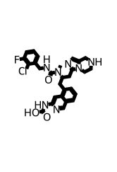 CN(C(=O)NCc1cccc(F)c1Cl)C(Cc1cccc2cnc(NC(=O)O)cc12)Cc1ncc2n1CCNC2